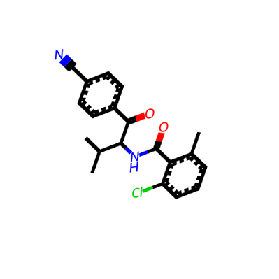 Cc1cccc(Cl)c1C(=O)NC(C(=O)c1ccc(C#N)cc1)C(C)C